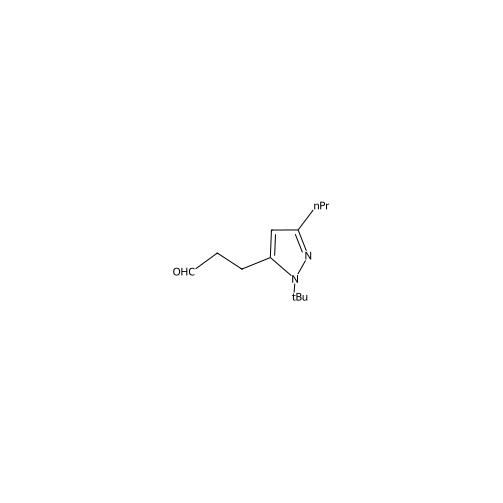 CCCc1cc(CCC=O)n(C(C)(C)C)n1